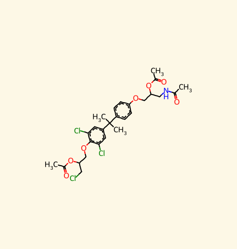 CC(=O)NCC(COc1ccc(C(C)(C)c2cc(Cl)c(OCC(CCl)OC(C)=O)c(Cl)c2)cc1)OC(C)=O